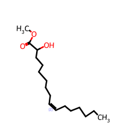 CCCCCC/C=C\CCCCCCC(O)C(=O)OC